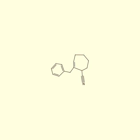 N#CC1CCCCC=C1Cc1ccccc1